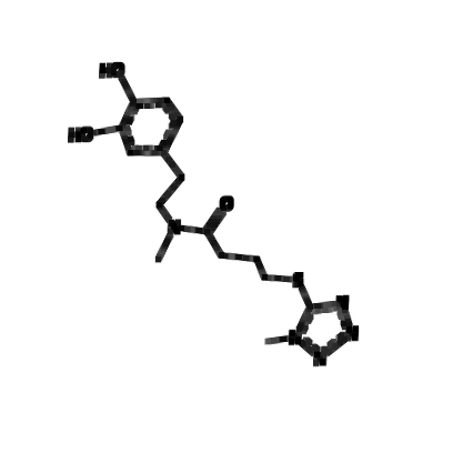 CN(CCc1ccc(O)c(O)c1)C(=O)CCCSc1nnnn1C